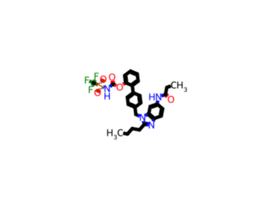 CCCCc1nc2ccc(NC(=O)CC)cc2n1Cc1ccc(-c2ccccc2OC(=O)NS(=O)(=O)C(F)(F)F)cc1